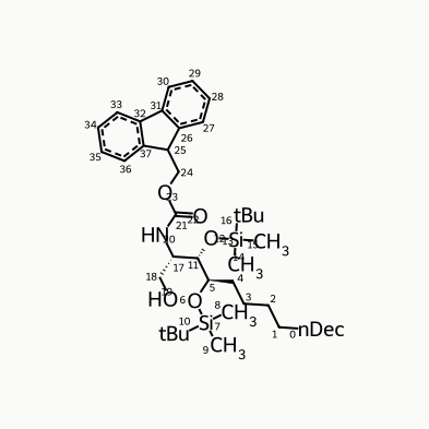 CCCCCCCCCCCCCC[C@@H](O[Si](C)(C)C(C)(C)C)[C@@H](O[Si](C)(C)C(C)(C)C)[C@H](CO)NC(=O)OCC1c2ccccc2-c2ccccc21